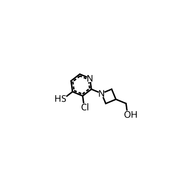 OCC1CN(c2nccc(S)c2Cl)C1